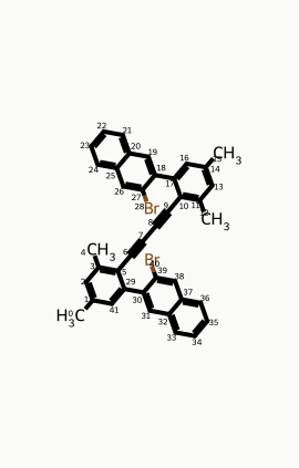 Cc1cc(C)c(C#CC#Cc2c(C)cc(C)cc2-c2cc3ccccc3cc2Br)c(-c2cc3ccccc3cc2Br)c1